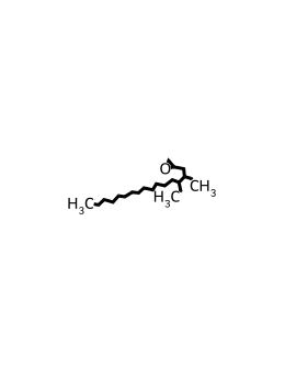 CCCCCCCCCCCCCC(CC)C(CC)CC1CO1